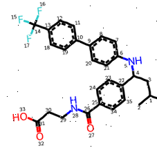 CC(C)CC(Nc1ccc(-c2ccc(C(F)(F)F)cc2)cc1)c1ccc(C(=O)NCCC(=O)O)cc1